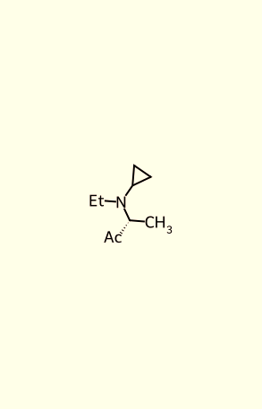 CCN(C1CC1)[C@H](C)C(C)=O